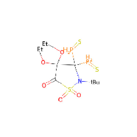 CCOC1(OCC)C(=O)S(=O)(=O)N(C(C)(C)C)C1([PH2]=S)[PH2]=S